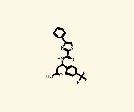 O=C(O)CC(NC(=O)c1nc(-c2ccccc2)cs1)c1ccc(C(F)(F)F)cc1